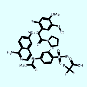 CCOc1cc([C@@H](Nc2ccc3c(N)nccc3c2)C(=O)N2CCC[C@@H]2c2cc(NC(=O)OC)ccc2S(=O)(=O)C(C)C)c(F)cc1OC.O=C(O)C(F)(F)F